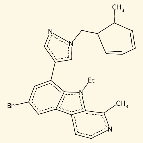 CCn1c2c(-c3cnn(CC4C=CC=CC4C)c3)cc(Br)cc2c2ccnc(C)c21